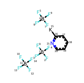 F[B-](F)(F)F.F[B-](F)(F)F.F[B-](F)(F)F.[K][c]1ccccn1